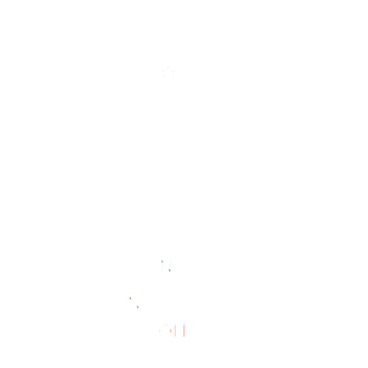 CCCCCOC(C)CCCC=Cc1ccc(-c2cnc(O)cn2)cc1